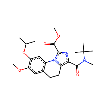 COC(=O)c1nc(C(=O)N(C)C(C)(C)C)c2n1-c1cc(OC(C)C)c(OC)cc1CC2